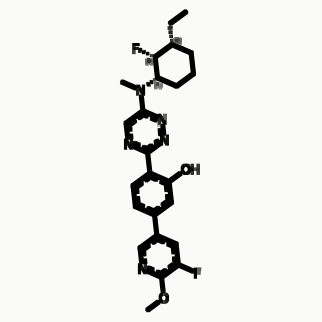 CC[C@@H]1CCC[C@H](N(C)c2cnc(-c3ccc(-c4cnc(OC)c(F)c4)cc3O)nn2)[C@@H]1F